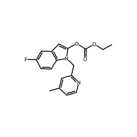 CCOC(=O)Oc1cc2cc(F)ccc2n1Cc1cc(C)ccn1